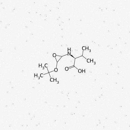 CC(C)[C@H](NC1OC1OC(C)(C)C)C(=O)O